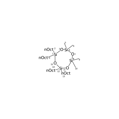 CCCCCCCC[Si]1(CCCCCCCC)O[Si](C)(C)O[Si](C)(C)O[Si](CCCCCCCC)(CCCCCCCC)O1